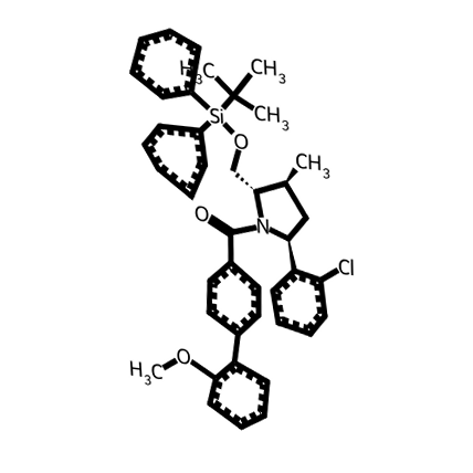 COc1ccccc1-c1ccc(C(=O)N2[C@H](CO[Si](c3ccccc3)(c3ccccc3)C(C)(C)C)[C@@H](C)C[C@H]2c2ccccc2Cl)cc1